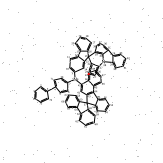 c1ccc(-c2ccc(N(c3ccc4c(c3)C3(c5ccccc5-4)c4ccccc4-n4c5ccccc5c5cccc3c54)c3cc4c(c5ccccc35)-c3ccccc3C43c4ccccc4-c4ccccc43)cc2)cc1